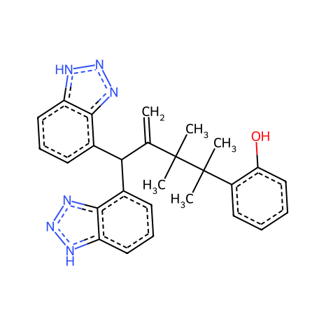 C=C(C(c1cccc2[nH]nnc12)c1cccc2[nH]nnc12)C(C)(C)C(C)(C)c1ccccc1O